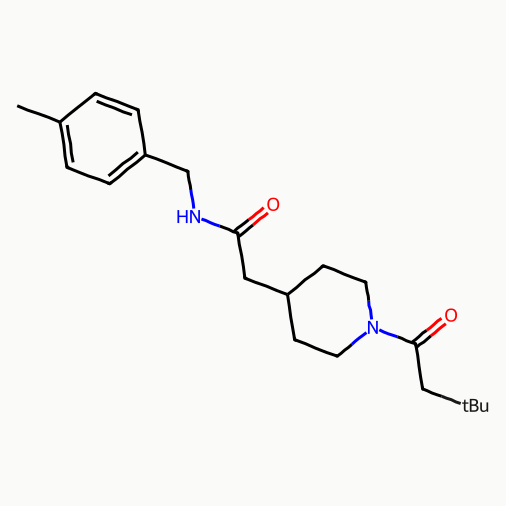 Cc1ccc(CNC(=O)CC2CCN(C(=O)CC(C)(C)C)CC2)cc1